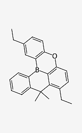 CCc1ccc2c(c1)B1c3ccccc3C(C)(C)c3c(CC)ccc(c31)O2